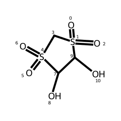 O=S1(=O)CS(=O)(=O)C(O)C1O